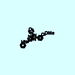 COCOc1cccc(-c2nc(N3CCOCC3)c3ncc(CNC4CCCCC4)cc3n2)c1